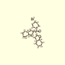 O=P(c1ccc(Br)cc1)(c1cc2ccccc2o1)c1cc2ccccc2o1